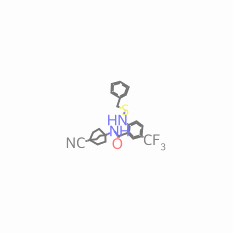 N#CC12CCC(NC(=O)c3cc(C(F)(F)F)ccc3NSCc3ccccc3)(CC1)CC2